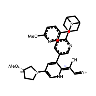 COc1ccc(CN2C3CC2CN(c2ccc(C4=CC(N5CC[C@H](OC)C5)=CN/C4=C(/C#N)C=N)cn2)C3)cn1